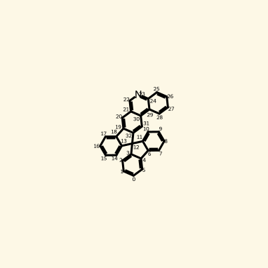 c1ccc2c(c1)-c1ccccc1C21c2ccccc2-c2cc3cnc4ccccc4c3cc21